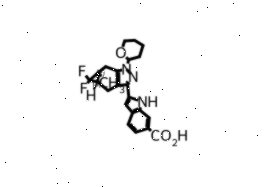 C[C@@]12Cc3c(c(-c4cc5ccc(C(=O)O)cc5[nH]4)nn3C3CCCCO3)C[C@@H]1C2(F)F